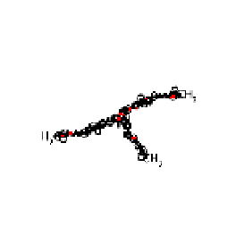 C=CC(=O)OCCCCCCOc1ccc(OC(=O)C2CCC(COc3ccc4c5ccc(OCC6CCC(C(=O)Oc7ccc(OCCCCCCOC(=O)C=C)cc7)CC6)cc5c5nc6cc(-c7cccc(OCCOCCOC(=O)C=C)c7)ccc6nc5c4c3)CC2)cc1